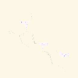 C=CNc1cc(N/C=C(/C=C)C=N)ccc1CC